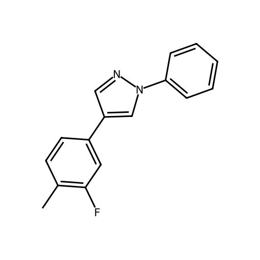 Cc1ccc(-c2cnn(-c3ccccc3)c2)cc1F